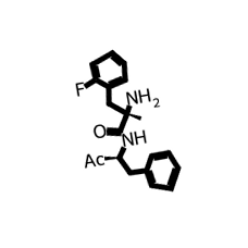 CC(=O)[C@H](Cc1ccccc1)NC(=O)[C@@](C)(N)Cc1ccccc1F